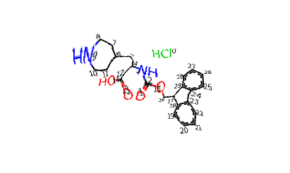 Cl.O=C(NC(CC1CCNCC1)C(=O)O)OCC1c2ccccc2-c2ccccc21